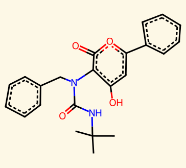 CC(C)(C)NC(=O)N(Cc1ccccc1)c1c(O)cc(-c2ccccc2)oc1=O